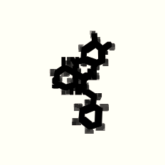 Cc1cc2c(cc1C)NC1(CCSCC1)C(NCc1ccccc1)=N2